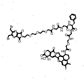 CC[C@@]1(O)C(=O)OCc2c1cc1n(c2=O)Cc2c-1nc1cc(F)c(C)c3c1c2[C@@H](NC(=O)COCNC(=O)CNC(=O)[C@H](Cc1ccccc1)NC(=O)CNC(=O)CNC(=O)COCCOCCOCCN1C(=O)c2nc(CBr)c(CBr)nc2C1=O)CC3